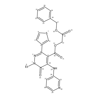 CCn1nc(-c2ccsc2)c(C(=O)OCC(=O)OCc2ccccc2)c(Nc2cccnc2)c1=O